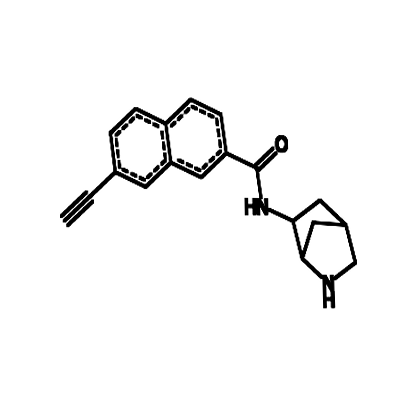 C#Cc1ccc2ccc(C(=O)NC3CC4CNC3C4)cc2c1